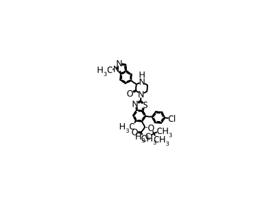 CC(=O)[C@@H](OC(C)(C)C)c1c(C)cc2nc(N3CCNC(c4ccc5c(cnn5C)c4)C3=O)sc2c1-c1ccc(Cl)cc1